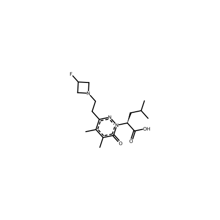 Cc1c(CCN2CC(F)C2)nn([C@@H](CC(C)C)C(=O)O)c(=O)c1C